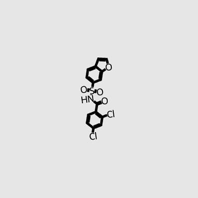 O=C(NS(=O)(=O)c1ccc2ccoc2c1)c1ccc(Cl)cc1Cl